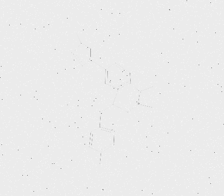 CC(=O)N1c2ccc(-n3cnc(C)c3)cc2C(Nc2ccc(C)cn2)CC1C.Cl